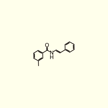 Cc1cccc(C(=O)N/C=C/c2ccccc2)c1